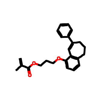 C=C(C)C(=O)OCCCOc1cccc2c1C=C(c1ccccc1)CCC2